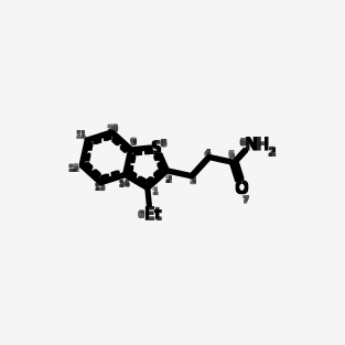 CCc1c(CCC(N)=O)sc2ccccc12